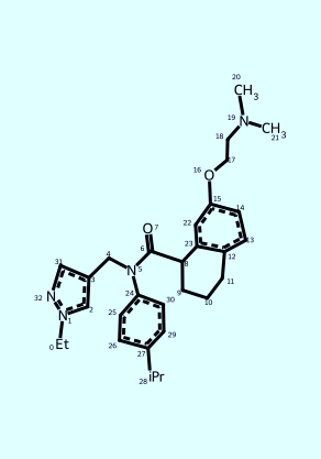 CCn1cc(CN(C(=O)C2CCCc3ccc(OCCN(C)C)cc32)c2ccc(C(C)C)cc2)cn1